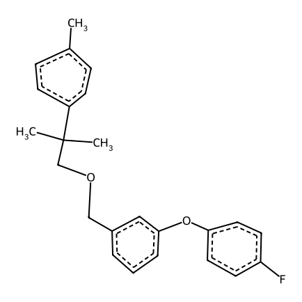 Cc1ccc(C(C)(C)COCc2cccc(Oc3ccc(F)cc3)c2)cc1